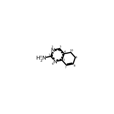 Nc1ncc2c(n1)C=CCC2